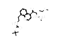 CNN[C@@H](CCSC)C(=O)c1ccnc2c([C@@H](C)CNC(=O)OC(C)(C)C)cccc12